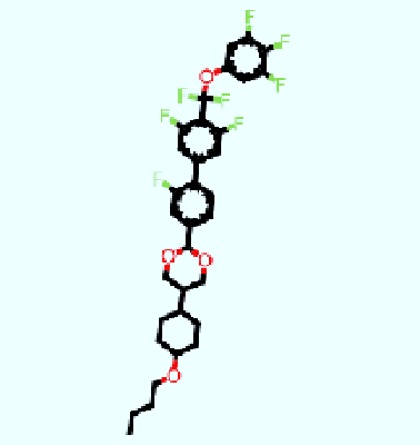 CCCCOC1CCC(C2COC(c3ccc(-c4cc(F)c(C(F)(F)Oc5cc(F)c(F)c(F)c5)c(F)c4)c(F)c3)OC2)CC1